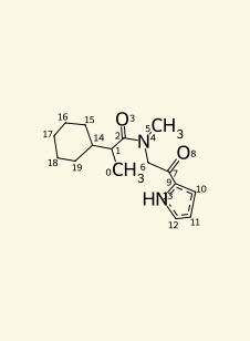 CC(C(=O)N(C)CC(=O)c1ccc[nH]1)C1CCCCC1